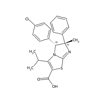 CC(C)C1=C(C(=O)O)SC2=N[C@@](C)(c3ccccc3)[C@@H](c3ccc(Cl)cc3)N21